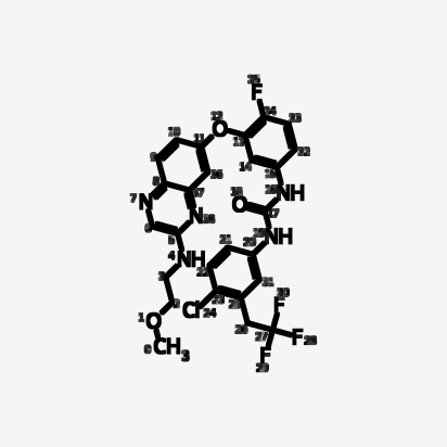 COCCNc1cnc2ccc(Oc3cc(NC(=O)Nc4ccc(Cl)c(CC(F)(F)F)c4)ccc3F)cc2n1